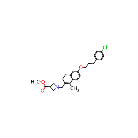 COC(=O)C1CN(CC2=C(C)c3ccc(OCCCc4ccc(Cl)cc4)cc3CC2)C1